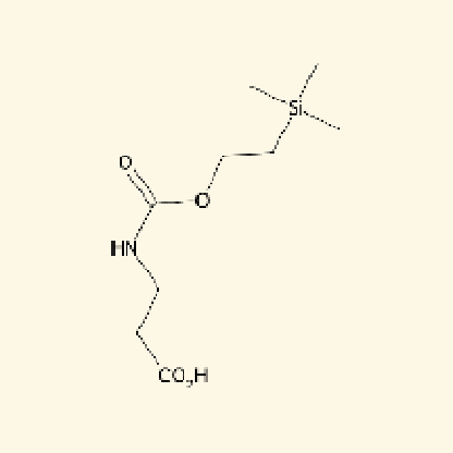 C[Si](C)(C)CCOC(=O)NCCC(=O)O